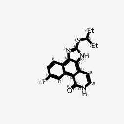 CCC(CC)Sc1nc2c3ccc(F)cc3c3c(=O)[nH]ccc3c2[nH]1